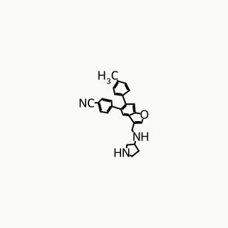 Cc1ccc(-c2cc3occ(CNC4CCNC4)c3cc2-c2ccc(C#N)cc2)cc1